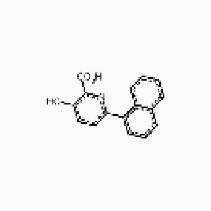 O=C(O)c1nc(-c2cccc3ccccc23)ccc1O